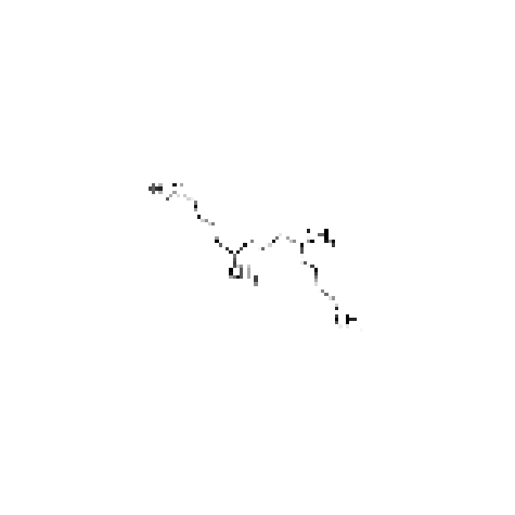 [CH2]CCCCC(C)CCCC(C)CCCCC